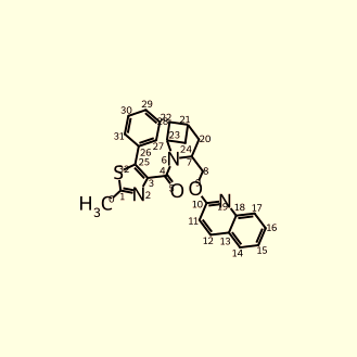 Cc1nc(C(=O)N2C(COc3ccc4ccccc4n3)CC3CC2C3)c(-c2ccccc2)s1